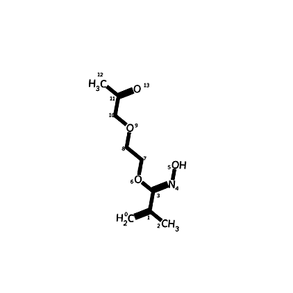 C=C(C)C(=NO)OCCOCC(C)=O